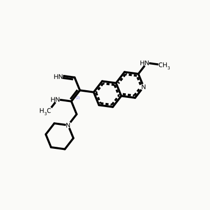 CN/C(CN1CCCCC1)=C(\C=N)c1ccc2cnc(NC)cc2c1